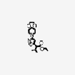 CCOC(=O)C(c1cc(N2CCC3(CC2)OCCO3)no1)C(C)C